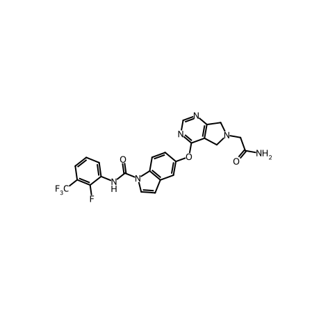 NC(=O)CN1Cc2ncnc(Oc3ccc4c(ccn4C(=O)Nc4cccc(C(F)(F)F)c4F)c3)c2C1